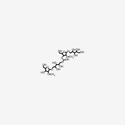 COC1C(OCC(O)C(O)C(O)COP(O)OC2C(CO)OC(OCC(O)C(O)C(O)CO)C2OC)OC(CO)C1O